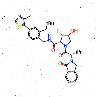 Cc1ncsc1-c1ccc(CNC(=O)[C@@H]2[C@@H](F)[C@@H](O)CN2C(=O)[C@H](C(C)C)N2Cc3ccccc3C2=O)c(CC(C)(C)C)c1